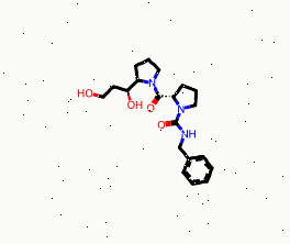 O=C([C@@H]1CCCN1C(=O)NCc1ccccc1)N1CCCC1[C@@H](O)CCO